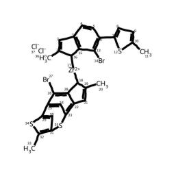 CC1=Cc2ccc(-c3ccc(C)s3)c(Br)c2[CH]1[Zr+2][CH]1C(C)=Cc2c3cc(c(Br)c21)-c1cc(c(C)s1)S3.[Cl-].[Cl-]